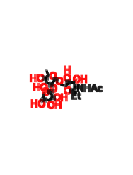 CC[C@@H]1OC(CO[C@@H]2OC(C)[C@H](O)C(O)[C@@H]2O[C@@H]2OC[C@@H](O)C(O)[C@@H]2O)[C@@H](O)C(O)[C@@H]1NC(C)=O